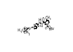 CC1CCN(C(=O)OC(C)(C)C)CC1C(=O)NNc1cnc2c(ccn2COCC[Si](C)(C)C)n1